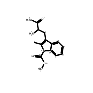 COC(=O)C(N)Cc1c(C)n(C(=O)OC(C)(C)C)c2ccccc12